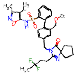 CCOCc1cc(CN2C(=O)C3(CCCC3)N=C2CCC(C)(F)F)ccc1-c1ccccc1S(=O)(=O)Nc1onc(C)c1C